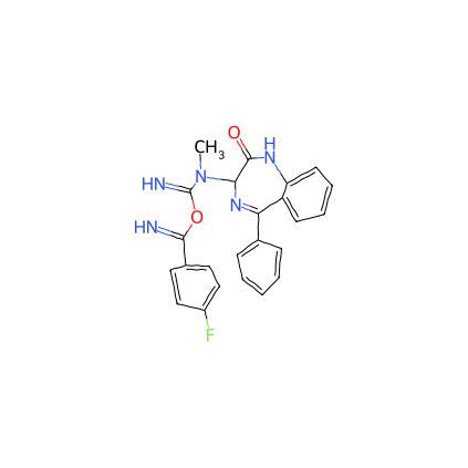 CN(C(=N)OC(=N)c1ccc(F)cc1)C1N=C(c2ccccc2)c2ccccc2NC1=O